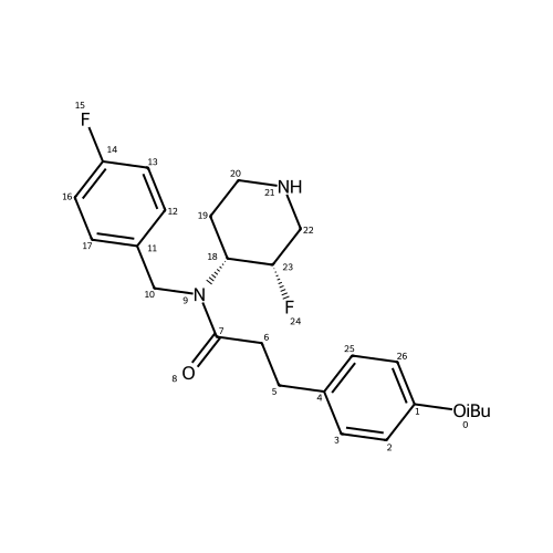 CC(C)COc1ccc(CCC(=O)N(Cc2ccc(F)cc2)[C@@H]2CCNC[C@@H]2F)cc1